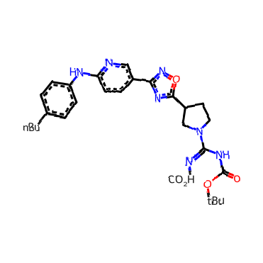 CCCCc1ccc(Nc2ccc(-c3noc(C4CCN(C(=NC(=O)O)NC(=O)OC(C)(C)C)C4)n3)cn2)cc1